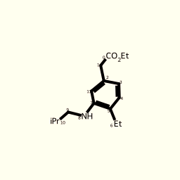 CCOC(=O)Cc1ccc(CC)c(NCC(C)C)c1